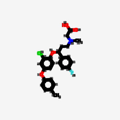 Cc1ccc(Oc2ccc(OC(CCN(C)CC(=O)O)c3ccc(F)cc3)c(Cl)c2)cc1